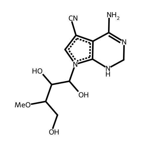 COC(CO)C(O)C(O)n1cc(C#N)c2c1NCN=C2N